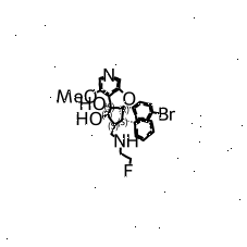 COc1cncc2c1[C@]1(O)[C@H](O)[C@H](CNCCF)[C@@H](c3ccccc3)[C@]1(c1ccc(Br)cc1)O2